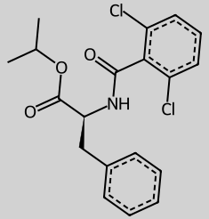 CC(C)OC(=O)[C@H](Cc1ccccc1)NC(=O)c1c(Cl)cccc1Cl